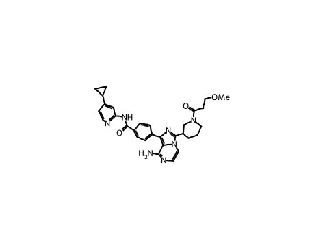 COCCC(=O)N1CCCC(c2nc(-c3ccc(C(=O)Nc4cc(C5CC5)ccn4)cc3)c3c(N)nccn23)C1